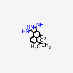 CC(C)(C)c1cccc2c3c(ccc12)C(=N)NC3=N